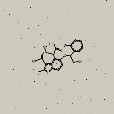 Cc1oc2ccc(OC(CO)c3ccccc3F)c(C(CO)C(N)=O)c2c1C(N)=O